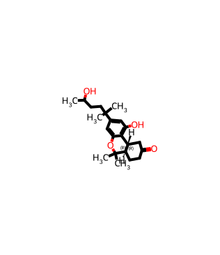 CC(O)CCC(C)(C)c1cc(O)c2c(c1)OC(C)(C)[C@@H]1CCC(=O)C[C@@H]21